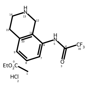 CCOC(C)=O.Cl.O=C(Nc1cccc2c1CNCC2)C(F)(F)F